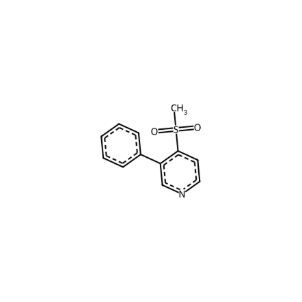 CS(=O)(=O)c1ccncc1-c1ccccc1